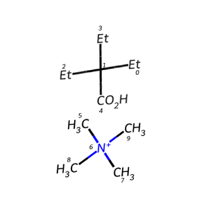 CCC(CC)(CC)C(=O)O.C[N+](C)(C)C